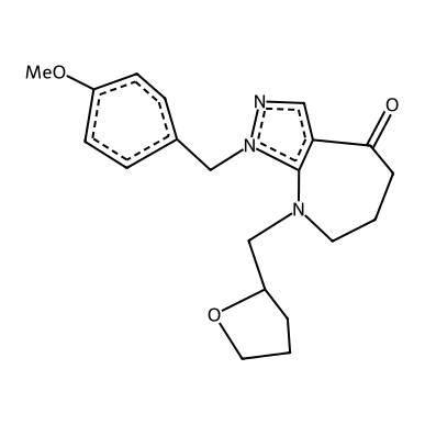 COc1ccc(Cn2ncc3c2N(CC2CCCO2)CCCC3=O)cc1